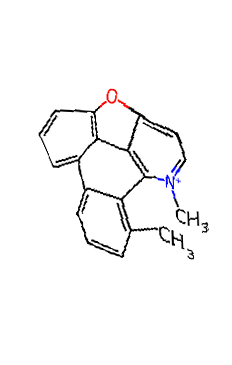 Cc1cccc2c3cccc4oc5cc[n+](C)c(c12)c5c43